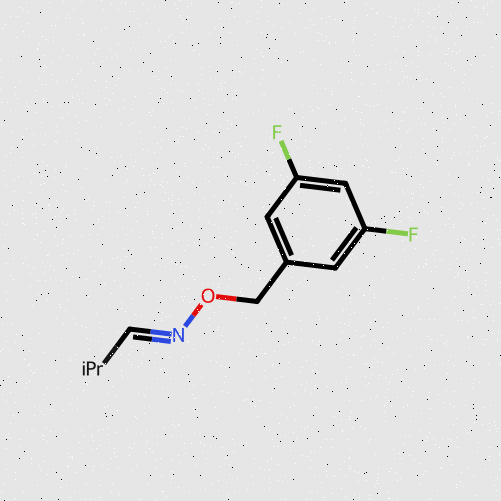 CC(C)C=NOCc1cc(F)cc(F)c1